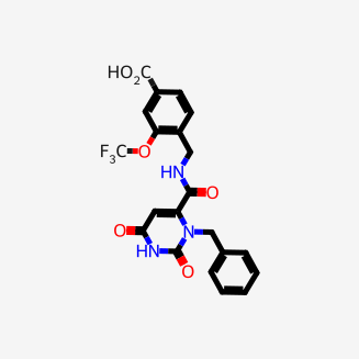 O=C(O)c1ccc(CNC(=O)c2cc(=O)[nH]c(=O)n2Cc2ccccc2)c(OC(F)(F)F)c1